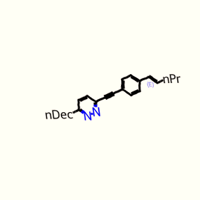 CCC/C=C/c1ccc(C#Cc2ccc(CCCCCCCCCC)nn2)cc1